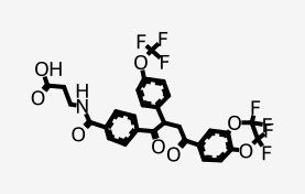 O=C(O)CCNC(=O)c1ccc(C(=O)C(CC(=O)c2ccc3c(c2)OC(F)(F)C(F)(F)O3)c2ccc(OC(F)(F)F)cc2)cc1